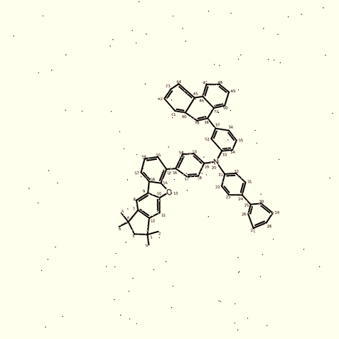 CC1(C)CC(C)(C)c2cc3c(cc21)oc1c(-c2ccc(N(c4ccc(-c5ccccc5)cc4)c4cccc(-c5cc6ccccc6c6ccccc56)c4)cc2)cccc13